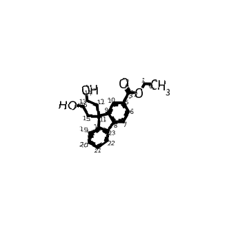 CCOC(=O)c1ccc2c(c1)C(CCO)(CCO)c1ccccc1-2